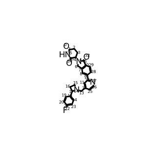 O=C1CCC(N2Cc3cc(-c4cc(CN5CCC5c5ccc(F)cc5)ccn4)ccc3C2=O)C(=O)N1